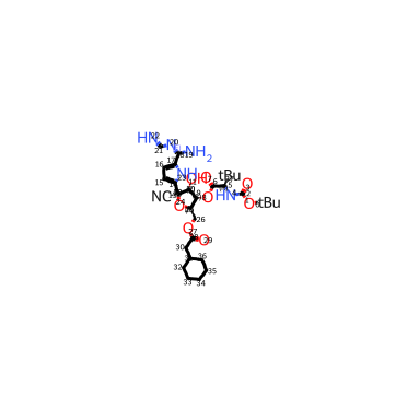 CC(C)(C)OC(=O)N[C@@H](C(=O)O[C@H]1[C@@H](O)[C@](C#N)(c2ccc(/C(N)=N\C=N)[nH]2)O[C@@H]1COC(=O)CC1CCCCC1)C(C)(C)C